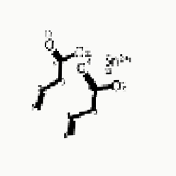 C=CCC(=O)[O-].C=CCC(=O)[O-].[Sn+2]